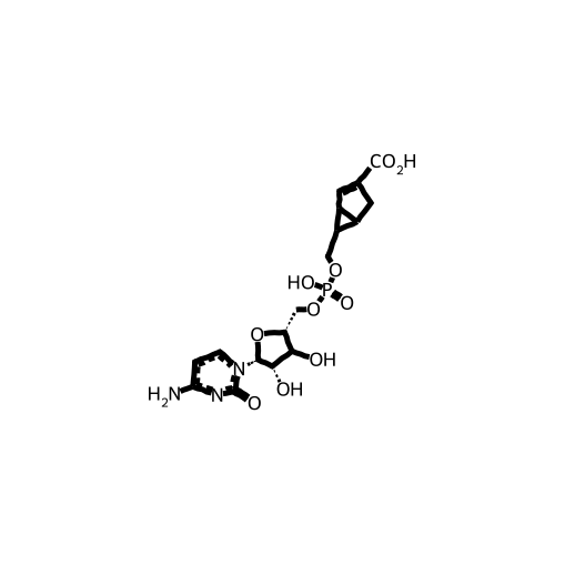 Nc1ccn([C@@H]2O[C@H](COP(=O)(O)OCC3C4C=C(C(=O)O)CC43)C(O)[C@@H]2O)c(=O)n1